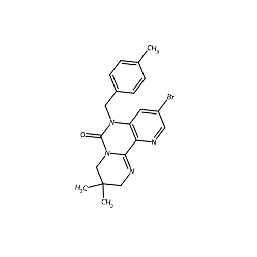 Cc1ccc(CN2C(=O)N3CC(C)(C)CN=C3c3ncc(Br)cc32)cc1